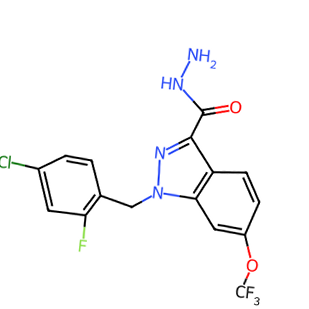 NNC(=O)c1nn(Cc2ccc(Cl)cc2F)c2cc(OC(F)(F)F)ccc12